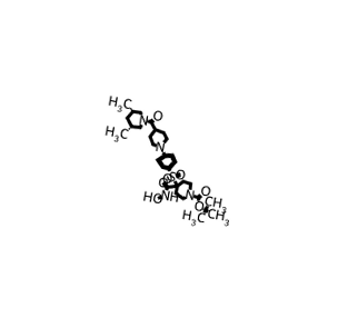 C[C@@H]1C[C@H](C)CN(C(=O)C2CCN(c3ccc(S(=O)(=O)C4(C(=O)NO)CCN(C(=O)OC(C)(C)C)CC4)cc3)CC2)C1